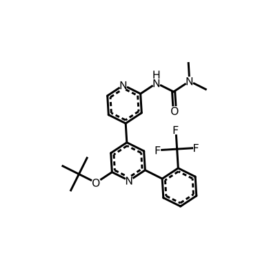 CN(C)C(=O)Nc1cc(-c2cc(OC(C)(C)C)nc(-c3ccccc3C(F)(F)F)c2)ccn1